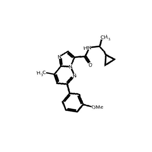 COc1cccc(-c2cc(C)c3ncc(C(=O)NC(C)C4CC4)n3n2)c1